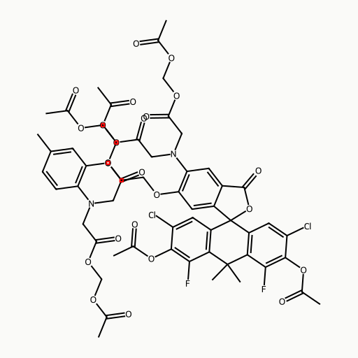 CC(=O)OCOC(=O)CN(CC(=O)OCOC(C)=O)c1ccc(C)cc1OCCOc1cc2c(cc1N(CC(=O)OCOC(C)=O)CC(=O)OCOC(C)=O)C(=O)OC21c2cc(Cl)c(OC(C)=O)c(F)c2C(C)(C)c2c1cc(Cl)c(OC(C)=O)c2F